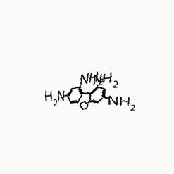 Nc1cc(N)c2c(c1)oc1cc(N)cc(N)c12